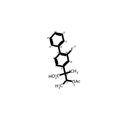 CC(=O)OC(C)C(C)(C(=O)O)c1ccc(-c2ccccc2)c(F)c1